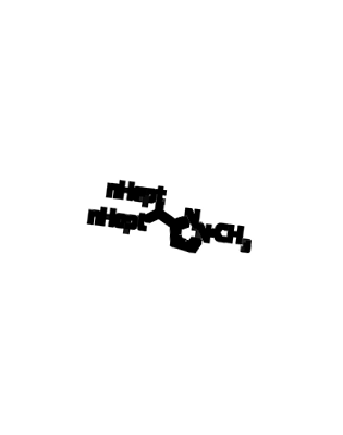 CCCCCCCC(CCCCCCC)c1ccn(C)n1